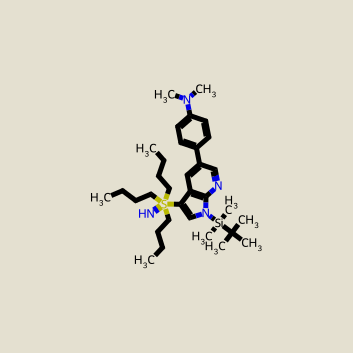 CCCCS(=N)(CCCC)(CCCC)c1cn([Si](C)(C)C(C)(C)C)c2ncc(-c3ccc(N(C)C)cc3)cc12